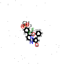 CS(=O)(=O)c1ccc(-c2ccc3nc4c(n3c2)[C@@H](c2ccccc2OC(F)F)CC4=O)cc1